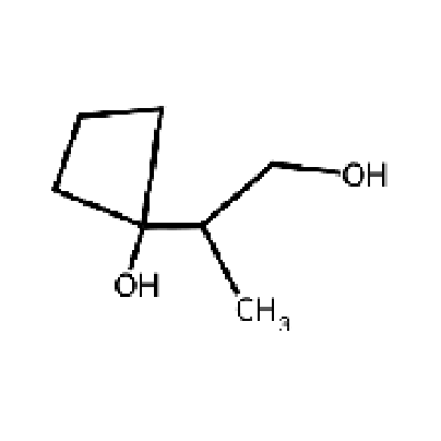 CC(CO)C1(O)CCC1